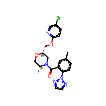 Cc1ccc(-n2nccn2)c(C(=O)N2C[C@@H](COc3ccc(Br)cn3)OC[C@H]2C)c1